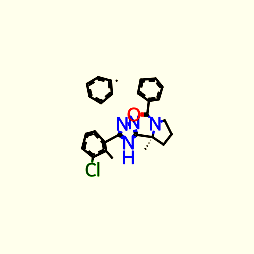 Cc1c(Cl)cccc1-c1nnc([C@]2(C)CCCN2C(=O)c2ccccc2)[nH]1.[c]1ccccc1